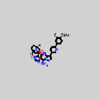 COc1ccc(-c2ccc(-c3cnn4c(N)cc([C@H]5C[C@H]6CC[C@@H](C5)N6C(=O)c5nnc[nH]5)nc34)cn2)cc1F